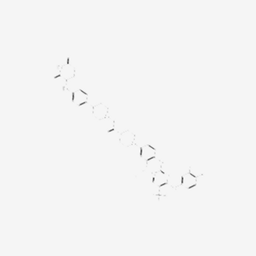 COc1cc(N2CCN(C(=O)CN3CCC(c4ccc(NC5CCC(=O)NC5=O)cc4)CC3)CC2)ccc1Nc1ncc(C(F)(F)F)c(Nc2ccc(F)c(Cl)c2)n1